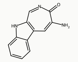 Nc1cc2c(cnc1=O)[nH]c1ccccc12